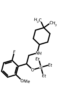 CC[Si](CC)(CC)OC(CNC1CCC(C)(C)CC1)c1c(F)cccc1OC